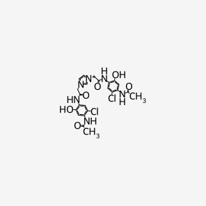 CC(=O)Nc1cc(O)c(NC(=O)Cn2cc[n+](CC(=O)Nc3cc(Cl)c(NC(C)=O)cc3O)c2)cc1Cl